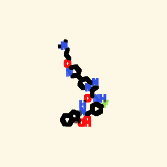 CN(C)CCCOc1ccc(-c2ccn3c(C(=O)Nc4cc(C(=O)N[C@H]5Cc6ccccc6[C@@H]5O)ccc4F)cnc3c2)cn1